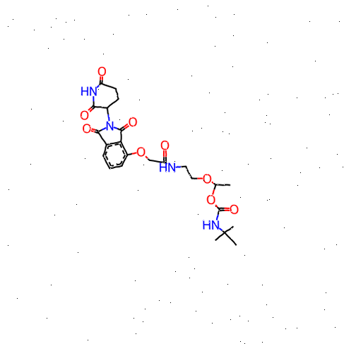 CC(OCCNC(=O)COc1cccc2c1C(=O)N(C1CCC(=O)NC1=O)C2=O)OC(=O)NC(C)(C)C